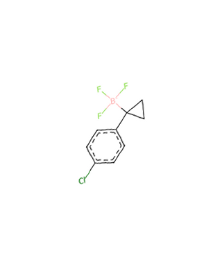 F[B-](F)(F)C1(c2ccc(Cl)cc2)CC1